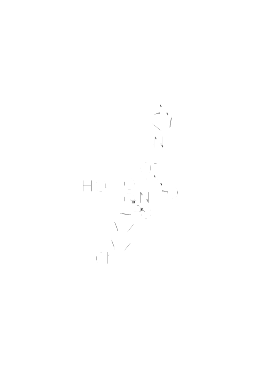 O=C1CN(S(=O)(=O)c2ccc3cc(Cl)ccc3c2)CC2(COCCO)OC3(CCN(c4ccncc4)CC3)CN12